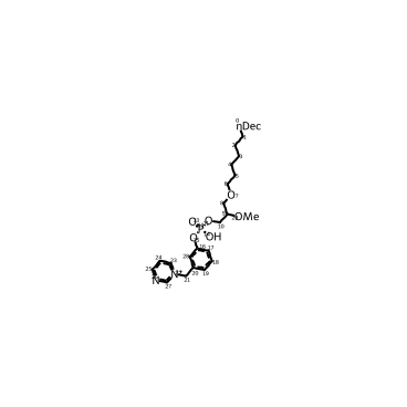 CCCCCCCCCCCCCCCCOCC(COP(=O)(O)Oc1cccc(C[n+]2cccnc2)c1)OC